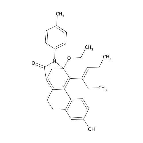 CC/C=C(\CC)C1=C2C(=C3CC1(OCC)N(c1ccc(C)cc1)C3=O)CCc1cc(O)ccc12